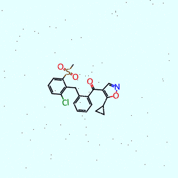 CS(=O)(=O)c1cccc(Cl)c1Cc1ccccc1C(=O)c1cnoc1C1CC1